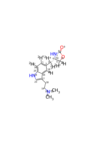 [2H]c1c(C([2H])([2H])[C@@H]2NC(=O)OC2([2H])[2H])c([2H])c2c(CCN(C)C)c[nH]c2c1[2H]